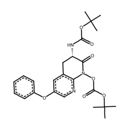 CC(C)(C)OC(=O)N[C@H]1Cc2cc(Oc3ccccc3)cnc2N(OC(=O)OC(C)(C)C)C1=O